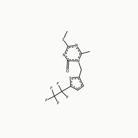 CSc1nc(C)n(Cc2ccc(C(F)(F)C(F)(F)F)s2)c(=O)n1